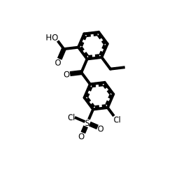 CCc1cccc(C(=O)O)c1C(=O)c1ccc(Cl)c(S(=O)(=O)Cl)c1